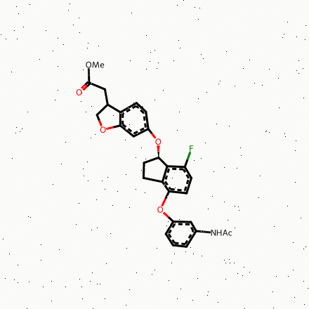 COC(=O)CC1COc2cc(O[C@@H]3CCc4c(Oc5cccc(NC(C)=O)c5)ccc(F)c43)ccc21